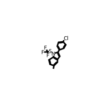 Cc1ccc2c(c1)cc(-c1ccc(Cl)cc1)n2SC(F)(F)F